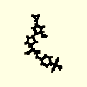 CCS(=O)(=O)c1ccc(CNC(=O)N2CC[C@H](c3cc(C4CC4)nn3C(C)C)C2)cc1